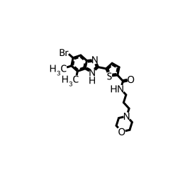 Cc1c(Br)cc2nc(-c3ccc(C(=O)NCCCN4CCOCC4)s3)[nH]c2c1C